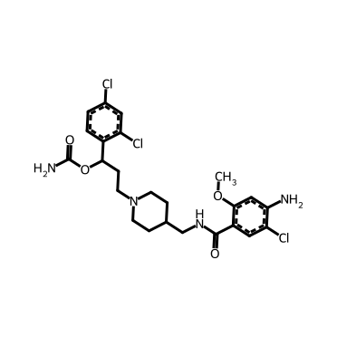 COc1cc(N)c(Cl)cc1C(=O)NCC1CCN(CCC(OC(N)=O)c2ccc(Cl)cc2Cl)CC1